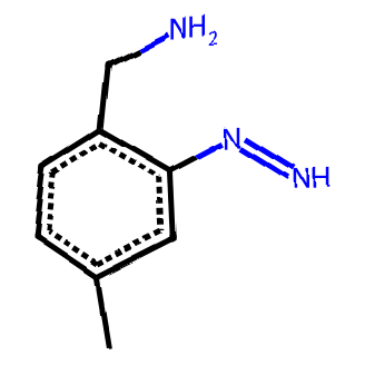 Cc1ccc(CN)c(N=N)c1